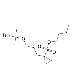 CCCCOS(=O)(=O)C1(CCCOC(C)(C)O)CC1